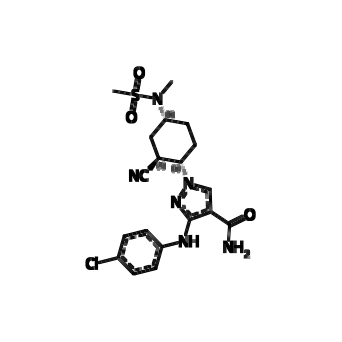 CN([C@@H]1CC[C@H](n2cc(C(N)=O)c(Nc3ccc(Cl)cc3)n2)[C@@H](C#N)C1)S(C)(=O)=O